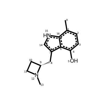 Cc1ccc(O)c2c(C[C@H]3CCN3C)c[nH]c12